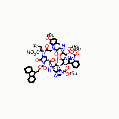 CC(C)C[C@H](NC(=O)CNC(=O)[C@H](Cc1ccc(OC(C)(C)C)cc1)NC(=O)[C@H](COC(C)(C)C)NC(=O)[C@H](Cc1cn(C(=O)OC(C)(C)C)c2ccccc12)NC(=O)[C@H](Cc1cn(C(=O)OC(C)(C)C)cn1)NC(=O)[C@@H]1CCC(=O)N1C(=O)OCC1c2ccccc2-c2ccccc21)C(=O)O